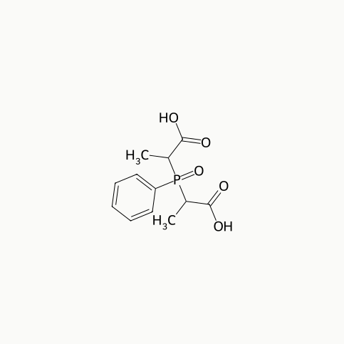 CC(C(=O)O)P(=O)(c1ccccc1)C(C)C(=O)O